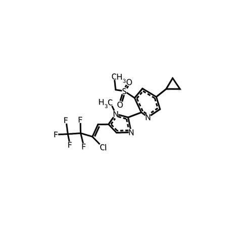 CCS(=O)(=O)c1cc(C2CC2)cnc1-c1ncc(/C=C(\Cl)C(F)(F)C(F)(F)F)n1C